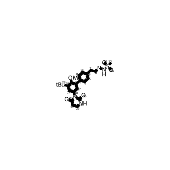 COc1c(-c2ccc(C/C=N/NS(C)(=O)=O)cc2)cc(-n2c(=O)cc[nH]c2=O)cc1C(C)(C)C